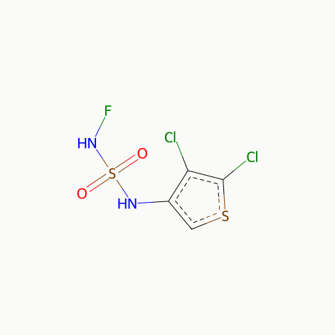 O=S(=O)(NF)Nc1csc(Cl)c1Cl